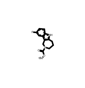 CC(C)(C)OC(=O)N1CCCc2[nH]c3ccc(F)cc3c2C1